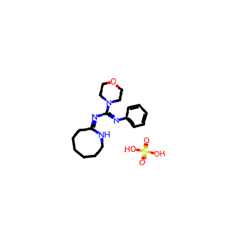 O=S(=O)(O)O.c1ccc(N=C(N=C2CCCCCCN2)N2CCOCC2)cc1